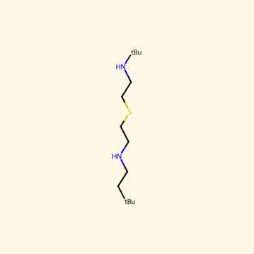 CC(C)(C)CCNCCSCCNC(C)(C)C